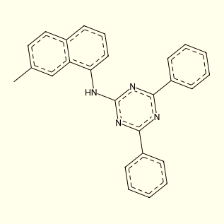 Cc1ccc2cccc(Nc3nc(-c4ccccc4)nc(-c4ccccc4)n3)c2c1